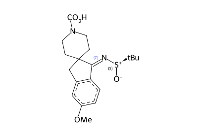 COc1ccc2c(c1)CC1(CCN(C(=O)O)CC1)/C2=N/[S@+]([O-])C(C)(C)C